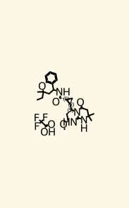 CCC1(C)CC(NC(=O)[C@@H]2C[C@H]2[C@H](CCOC)N2C(=N)NC(C)(C)CC2=O)c2ccccc2O1.O=C(O)C(F)(F)F